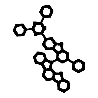 c1ccc(-c2cc(-n3c4ccccc4c4ccc5c6ccccc6oc5c43)c3c(c2)oc2cc(-c4nc(-c5ccccc5)nc(-c5ccccc5)n4)ccc23)cc1